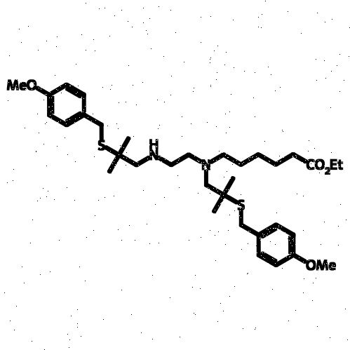 CCOC(=O)CCCCCN(CCNCC(C)(C)SCc1ccc(OC)cc1)CC(C)(C)SCc1ccc(OC)cc1